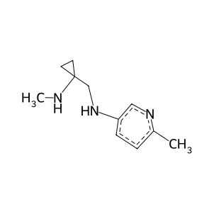 CNC1(CNc2ccc(C)nc2)CC1